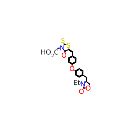 CCN1C(=O)OCC1Cc1ccc(Oc2ccc(/C=C3/SC(=S)N(CC(=O)O)C3=O)cc2)cc1